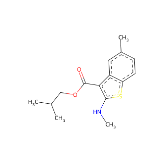 CNc1sc2ccc(C)cc2c1C(=O)OCC(C)C